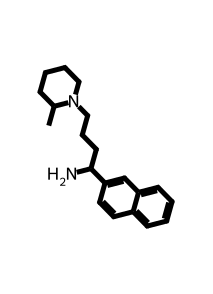 CC1CCCCN1CCCC(N)c1ccc2ccccc2c1